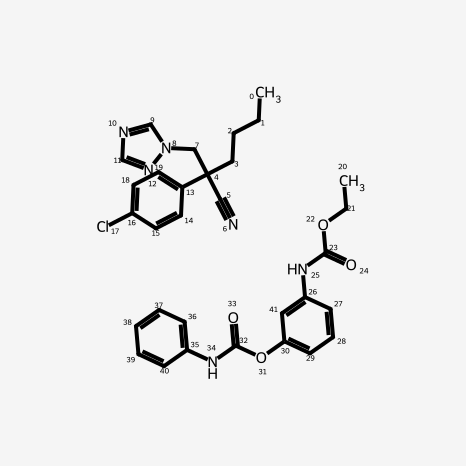 CCCCC(C#N)(Cn1cncn1)c1ccc(Cl)cc1.CCOC(=O)Nc1cccc(OC(=O)Nc2ccccc2)c1